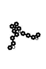 c1ccc(C2(c3ccccc3)c3ccccc3-c3c(N(c4ccc(-c5ccc(-c6ccc7oc8ccccc8c7c6)cc5)cc4)c4ccc(-c5cccc(-c6ccc7oc8ccccc8c7c6)c5)cc4)cccc32)cc1